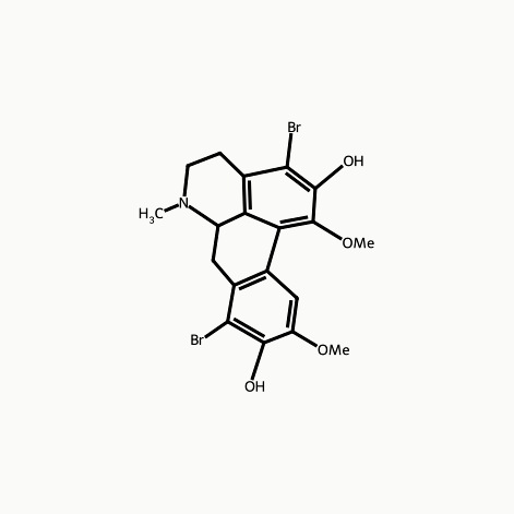 COc1cc2c(c(Br)c1O)CC1c3c(c(Br)c(O)c(OC)c3-2)CCN1C